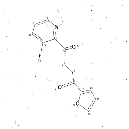 O=C(CCC(=O)c1ncccc1F)c1ccco1